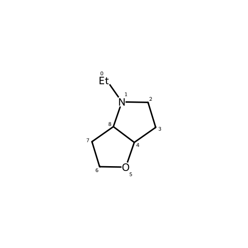 CCN1CCC2OCCC21